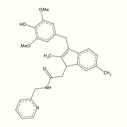 COc1cc(CC2=C(C)C(CC(=O)NCc3ccccn3)c3cc(C)ccc32)cc(OC)c1O